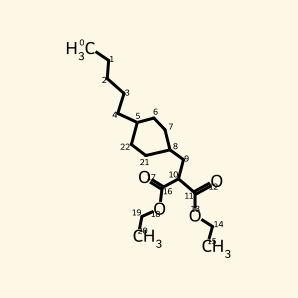 CCCCCC1CCC(CC(C(=O)OCC)C(=O)OCC)CC1